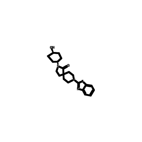 O=C1N([C@H]2CC[C@H](O)CC2)CCC12CCN(c1nc3ccccc3s1)CC2